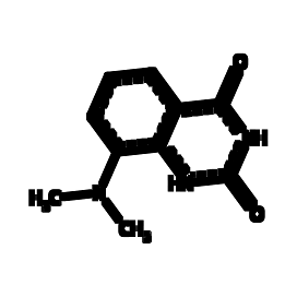 CN(C)c1cccc2c(=O)[nH]c(=O)[nH]c12